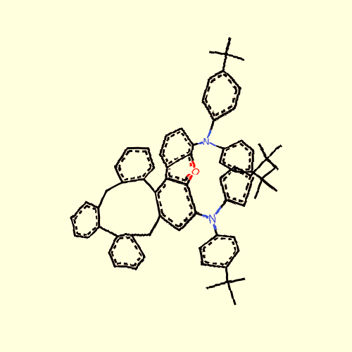 CC(C)(C)c1ccc(N(c2ccc(C(C)(C)C)cc2)c2cccc3c2oc2c(N(c4ccc(C(C)(C)C)cc4)c4ccc(C(C)(C)C)cc4)cc4c(c23)-c2ccccc2Cc2ccccc2-c2ccccc2C4)cc1